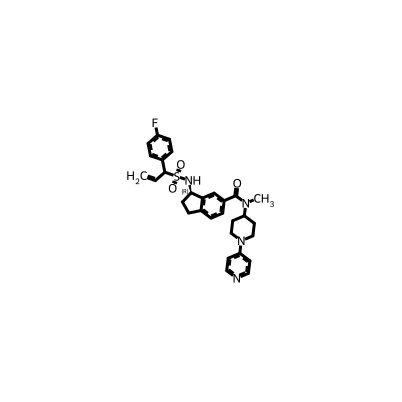 C=CC(c1ccc(F)cc1)S(=O)(=O)N[C@@H]1CCc2ccc(C(=O)N(C)C3CCN(c4ccncc4)CC3)cc21